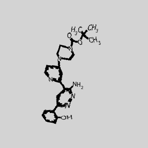 CC(C)(C)OC(=O)N1CCN(c2ccnc(-c3cc(-c4ccccc4O)nnc3N)c2)CC1